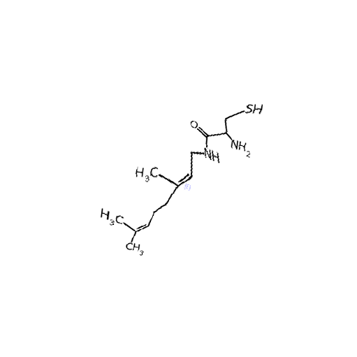 CC(C)=CCC/C(C)=C/CNC(=O)C(N)CS